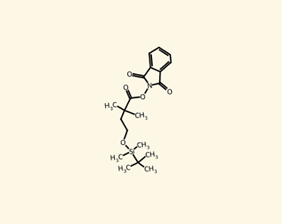 CC(C)(CCO[Si](C)(C)C(C)(C)C)C(=O)ON1C(=O)c2ccccc2C1=O